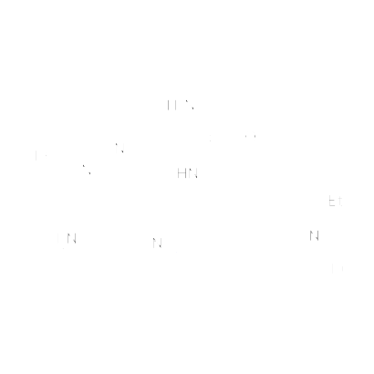 CC[N+](CC)=C1C=C/C(=N/c2cnn(C)c2N)C(NC(N)=O)=C1